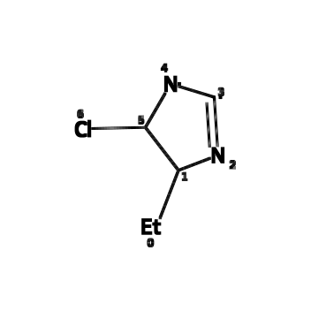 CCC1N=[C][N]C1Cl